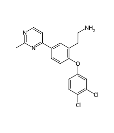 Cc1nccc(-c2ccc(Oc3ccc(Cl)c(Cl)c3)c(CCN)c2)n1